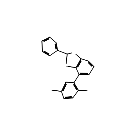 Nc1ccc(Cl)cc1-c1cccc2c1NC(c1ccccc1)O2